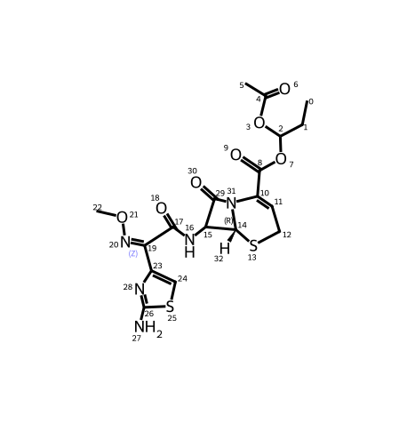 CCC(OC(C)=O)OC(=O)C1=CCS[C@@H]2C(NC(=O)/C(=N\OC)c3csc(N)n3)C(=O)N12